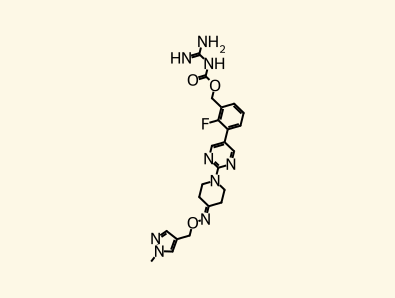 Cn1cc(CON=C2CCN(c3ncc(-c4cccc(COC(=O)NC(=N)N)c4F)cn3)CC2)cn1